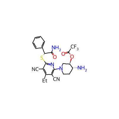 CCc1c(C#N)c(S[C@@H](C(N)=O)c2ccccc2)nc(N2CC[C@@H](N)[C@H](OC(=O)C(F)(F)F)C2)c1C#N